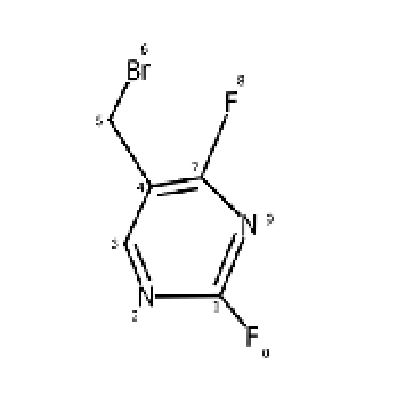 Fc1ncc(CBr)c(F)n1